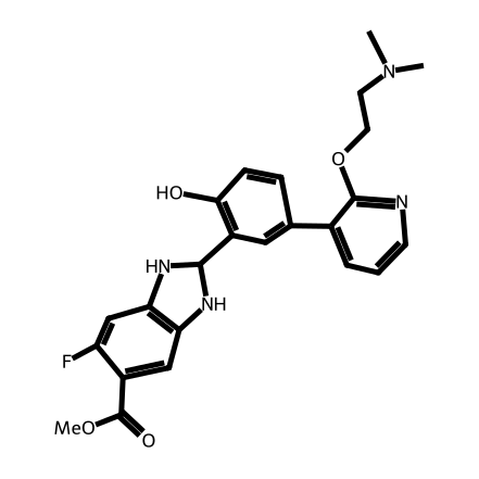 COC(=O)c1cc2c(cc1F)NC(c1cc(-c3cccnc3OCCN(C)C)ccc1O)N2